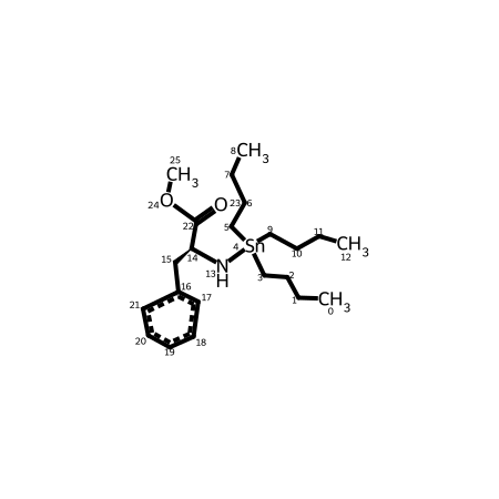 CCC[CH2][Sn]([CH2]CCC)([CH2]CCC)[NH][C@@H](Cc1ccccc1)C(=O)OC